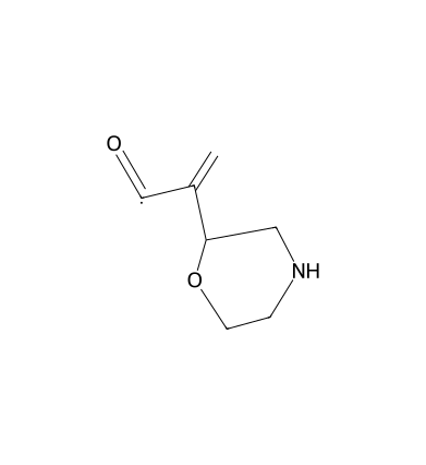 C=C([C]=O)C1CNCCO1